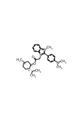 CC(C)[C@@H]1CC[C@@H](C)C[C@H]1OC(=O)Cn1c(-c2ccc(N(C)C)cc2)[n+](C)c2ccccc21